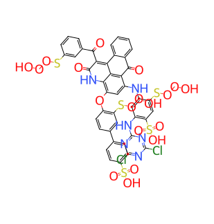 O=C(c1cccc(SOOO)c1)c1c2c3c(c(Nc4cc(Nc5nc(Cl)nc(Cl)n5)c(S(=O)(=O)O)cc4SOOO)cc(Oc4ccc(-c5ccc(S(=O)(=O)O)cc5)cc4SOOO)c3[nH]c1=O)C(=O)c1ccccc1-2